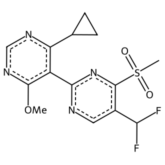 COc1ncnc(C2CC2)c1-c1ncc(C(F)F)c(S(C)(=O)=O)n1